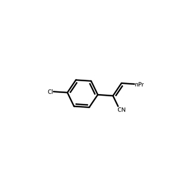 C[CH]CC=C(C#N)c1ccc(Cl)cc1